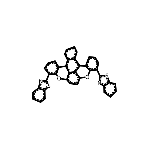 c1cc(-c2nc3ccccc3s2)c2c(c1)-c1c3ccccc3c3c4c(ccc(c14)O2)Oc1c(-c2nc4ccccc4s2)cccc1-3